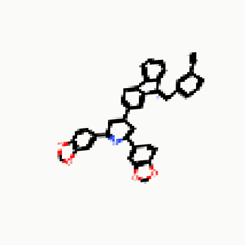 C#Cc1cccc(/C=C2\c3ccccc3-c3ccc(-c4cc(-c5ccc6c(c5)OCO6)nc(-c5ccc6c(c5)OCO6)c4)cc32)c1